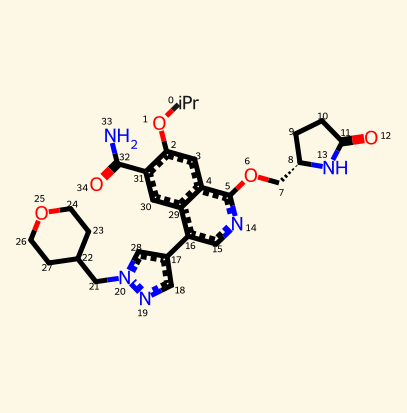 CC(C)Oc1cc2c(OC[C@@H]3CCC(=O)N3)ncc(-c3cnn(CC4CCOCC4)c3)c2cc1C(N)=O